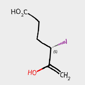 C=C(O)[C@@H](I)CCC(=O)O